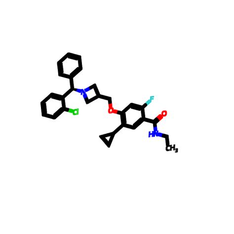 CCNC(=O)c1cc(C2CC2)c(OCC2CN([C@H](c3ccccc3)c3ccccc3Cl)C2)cc1F